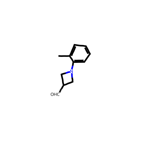 Cc1ccccc1N1CC(C=O)C1